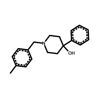 Cc1ccc(CN2CCC(O)(c3ccccc3)CC2)cc1